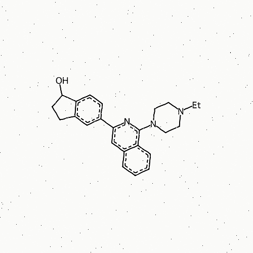 CCN1CCN(c2nc(-c3ccc4c(c3)CCC4O)cc3ccccc23)CC1